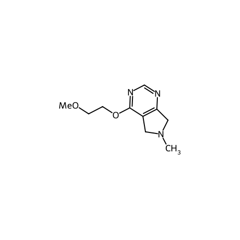 COCCOc1ncnc2c1CN(C)C2